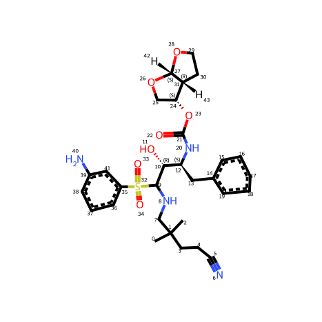 CC(C)(CCC#N)CNC([C@H](O)[C@H](Cc1ccccc1)NC(=O)O[C@@H]1CO[C@@H]2OCC[C@@H]21)S(=O)(=O)c1cccc(N)c1